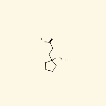 CC(C)(C)OC(=O)CCC1(OC=O)CCCC1